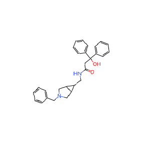 O=C(CC(O)(c1ccccc1)c1ccccc1)NCC1C2CN(Cc3ccccc3)CC12